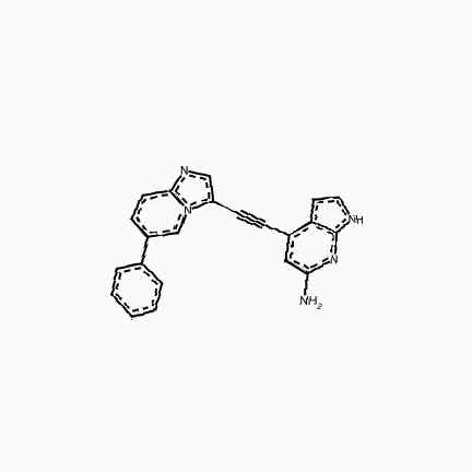 Nc1cc(C#Cc2cnc3ccc(-c4cc[c]cc4)cn23)c2cc[nH]c2n1